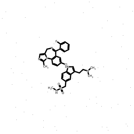 CNS(=O)(=O)Cc1ccc2[nH]cc(CCN(C)C)c2c1.Cc1ncc2n1-c1ccc(Cl)cc1C(c1ccccc1F)=NC2